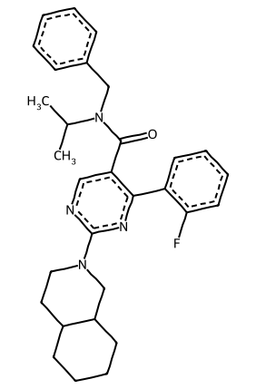 CC(C)N(Cc1ccccc1)C(=O)c1cnc(N2CCC3CCCCC3C2)nc1-c1ccccc1F